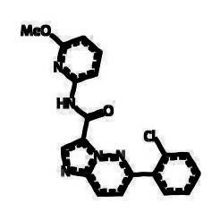 COc1cccc(NC(=O)c2cnc3ccc(-c4ccccc4Cl)nn23)n1